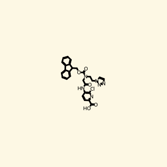 O=C(CN(CCn1ccnn1)C(=O)OCC1c2ccccc2-c2ccccc21)Nc1ccc(C(=O)O)nc1Cl